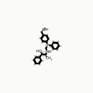 CC[C@H](C)Cc1ccc(P(CN[C@@H](C)[C@H](O)c2ccccc2)c2ccccc2)cc1